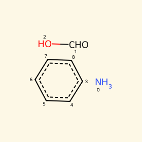 N.O=CO.c1ccccc1